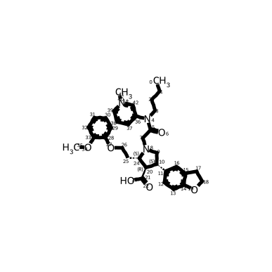 CCCCN(C(=O)CN1C[C@H](c2ccc3c(c2)CCO3)[C@@H](C(=O)O)[C@@H]1CCOc1ccccc1OC)c1ccc[n+](C)c1